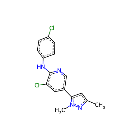 Cc1cc(-c2cnc(Nc3ccc(Cl)cc3)c(Cl)c2)n(C)n1